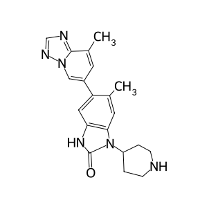 Cc1cc2c(cc1-c1cc(C)c3ncnn3c1)[nH]c(=O)n2C1CCNCC1